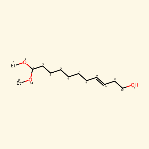 CCOC(CCCCCC/C=C/CCO)OCC